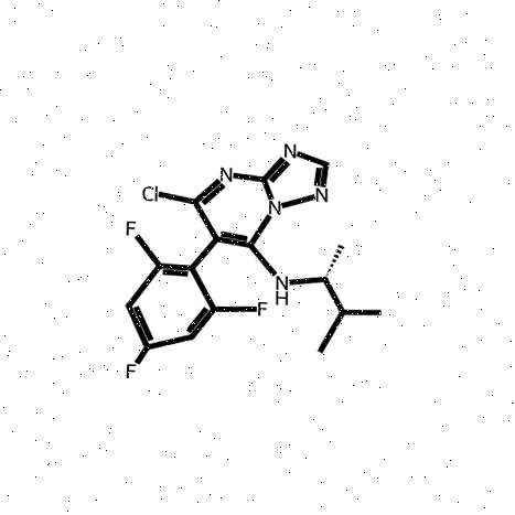 CC(C)[C@@H](C)Nc1c(-c2c(F)cc(F)cc2F)c(Cl)nc2ncnn12